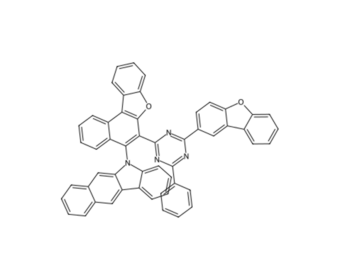 c1ccc(-c2nc(-c3ccc4oc5ccccc5c4c3)nc(-c3c(-n4c5ccccc5c5cc6ccccc6cc54)c4ccccc4c4c3oc3ccccc34)n2)cc1